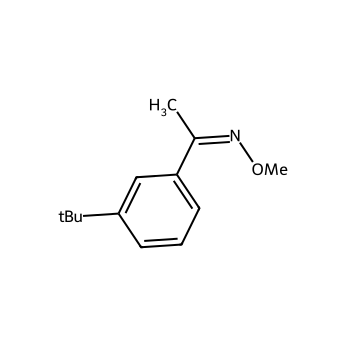 CO/N=C(/C)c1cccc(C(C)(C)C)c1